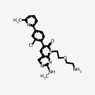 CNc1ncc2cc(-c3ccc(-c4cccc(C)n4)cc3Cl)c(=O)n(CCOCCN)c2n1